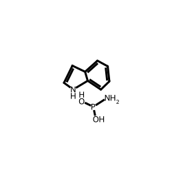 NP(O)O.c1ccc2[nH]ccc2c1